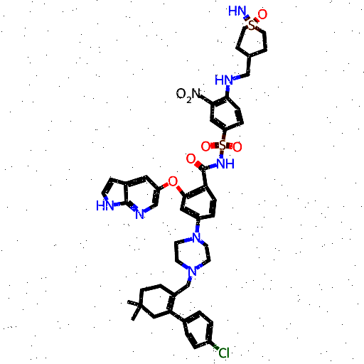 CC1(C)CCC(CN2CCN(c3ccc(C(=O)NS(=O)(=O)c4ccc(NCC5CCS(=N)(=O)CC5)c([N+](=O)[O-])c4)c(Oc4cnc5[nH]ccc5c4)c3)CC2)=C(c2ccc(Cl)cc2)C1